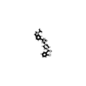 CC(C)n1ncc2ccc(-c3noc(N4CCN(C(=O)c5ccccc5Cl)CC4)n3)cc21